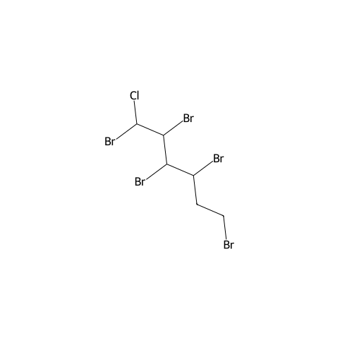 ClC(Br)C(Br)C(Br)C(Br)CCBr